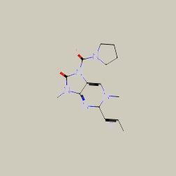 C/C=C/C1N=c2c(n(C(=O)N3CCCC3)c(=O)n2C)=CN1C